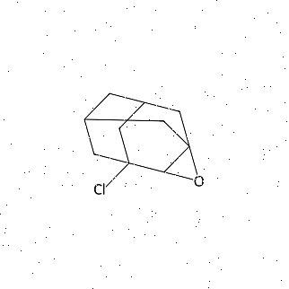 ClC12CC3CC(C1)CC1(C3)OC21